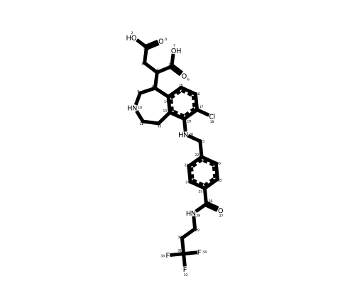 O=C(O)CC(C(=O)O)C1CNCCc2c1ccc(Cl)c2NCc1ccc(C(=O)NCCC(F)(F)F)cc1